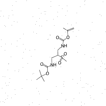 C=C(C)OC(=O)NCC(CNC(=O)OC(C)(C)C)S(C)(=O)=O